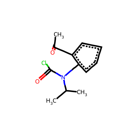 CC(=O)c1ccccc1N(C(=O)Cl)C(C)C